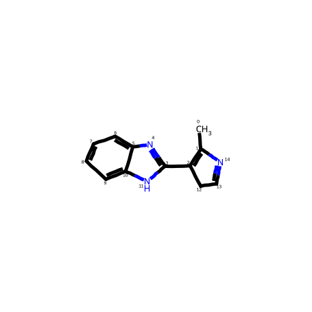 CC1=C(c2nc3ccccc3[nH]2)CC=N1